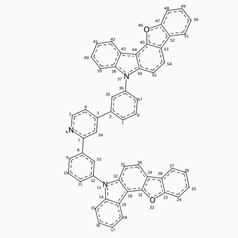 c1cc(-c2ccnc(-c3cccc(-n4c5ccccc5c5c6oc7ccccc7c6ccc54)c3)c2)cc(-n2c3ccccc3c3c4oc5ccccc5c4ccc32)c1